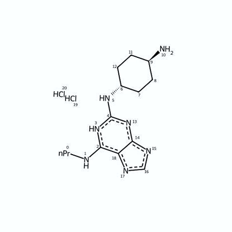 CCCNc1[nH]c(N[C@H]2CC[C@H](N)CC2)nc2ncnc1-2.Cl.Cl